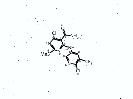 CSc1nc(Cl)c(C(N)=O)c(Nc2cnc(Cl)c(C(F)(F)F)c2)n1